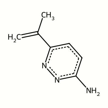 C=C(C)c1ccc(N)nn1